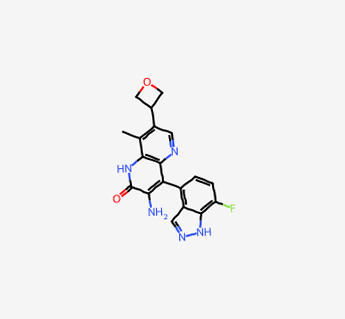 Cc1c(C2COC2)cnc2c(-c3ccc(F)c4[nH]ncc34)c(N)c(=O)[nH]c12